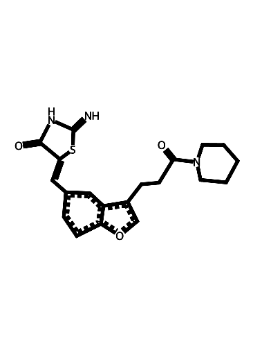 N=C1NC(=O)C(=Cc2ccc3occ(CCC(=O)N4CCCCC4)c3c2)S1